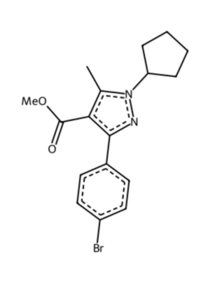 COC(=O)c1c(-c2ccc(Br)cc2)nn(C2CCCC2)c1C